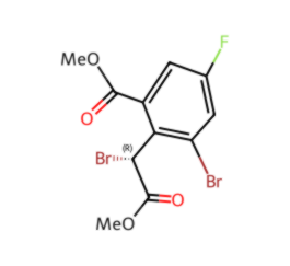 COC(=O)c1cc(F)cc(Br)c1[C@@H](Br)C(=O)OC